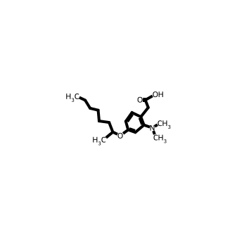 CCCCCCC(C)Oc1ccc(CC(=O)O)c(N(C)C)c1